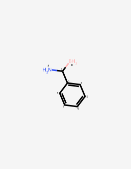 BC(N)c1cc[c]cc1